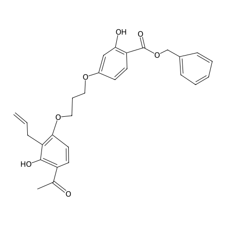 C=CCc1c(OCCCOc2ccc(C(=O)OCc3ccccc3)c(O)c2)ccc(C(C)=O)c1O